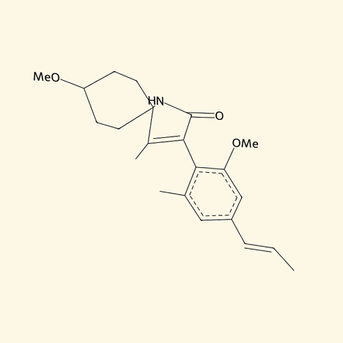 C/C=C/c1cc(C)c(C2=C(C)C3(CCC(OC)CC3)NC2=O)c(OC)c1